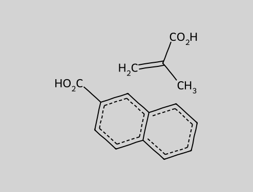 C=C(C)C(=O)O.O=C(O)c1ccc2ccccc2c1